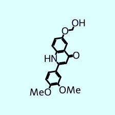 COc1ccc(-c2cc(=O)c3cc(OCO)ccc3[nH]2)cc1OC